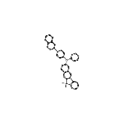 CC1(C)c2ccccc2-c2cc3cc(N(c4ccccc4)c4ccc(-c5ccc6ccccc6c5)cc4)ccc3cc21